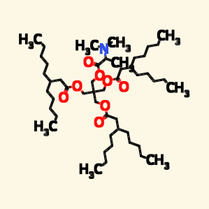 CCCCCC(CCCCC)CC(=O)OCC(COC(=O)CC(CCCCC)CCCCC)(COC(=O)CC(CCCCC)CCCCC)COC(=O)C(C)N(C)C